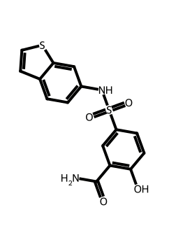 NC(=O)c1cc(S(=O)(=O)Nc2ccc3ccsc3c2)ccc1O